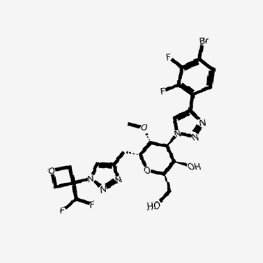 CO[C@@H]1[C@@H](n2cc(-c3ccc(Br)c(F)c3F)nn2)[C@@H](O)[C@@H](CO)O[C@@H]1Cc1cn(C2(C(F)F)COC2)nn1